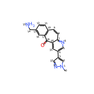 Cn1cc(-c2cnc3ccc4ccc(CN)cc4c(=O)c3c2)cn1